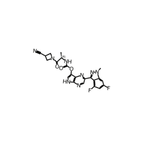 C[C@@H](NC(=O)Oc1c[nH]c2ncc(-c3nn(C)c4cc(F)cc(F)c34)nc12)C(=O)N1CC(C#N)C1